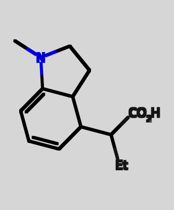 CCC(C(=O)O)C1C=CC=C2C1CCN2C